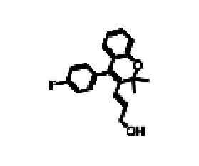 CC1(C)Oc2ccccc2C(c2ccc(F)cc2)=C1C=CCO